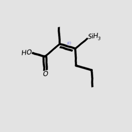 CCC/C([SiH3])=C(/C)C(=O)O